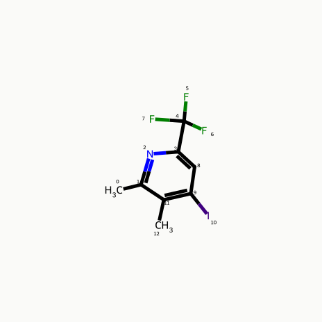 Cc1nc(C(F)(F)F)cc(I)c1C